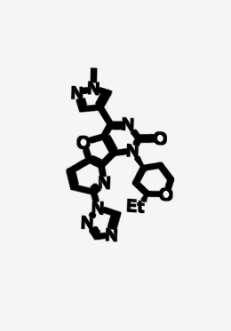 CC[C@H]1C[C@@H](n2c(=O)nc(-c3cnn(C)c3)c3oc4ccc(-n5cncn5)nc4c32)CCO1